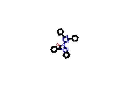 c1ccc(-c2nc(-c3ccccc3)nc(-n3c4oc5ccccc5c4n4c5ccccc5nc34)n2)cc1